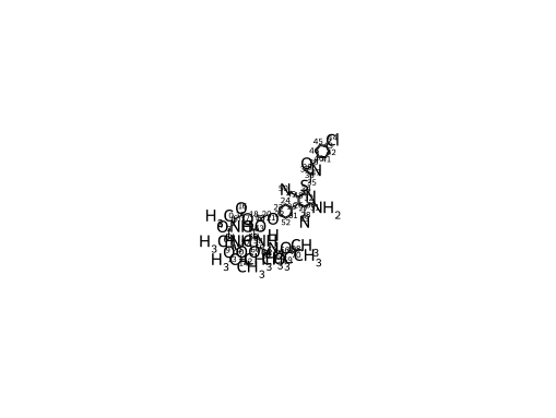 C[C@H](NC(=O)[C@@H](C)NC(=O)OC(C)(C)C)C(=O)OC[C@H](COc1ccc(-c2c(C#N)c(N)nc(SCc3coc(-c4ccc(Cl)cc4)n3)c2C#N)cc1)OC(=O)[C@H](C)NC(=O)[C@@H](C)NC(=O)OC(C)(C)C